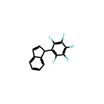 Fc1c(F)c(F)c(C2C=Cc3ccccc32)c(F)c1F